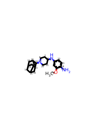 COc1cc(NC2CCN(C3C4CC5CC(C4)CC3C5)CC2)ccc1N